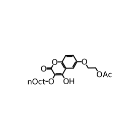 CCCCCCCCOc1c(O)c2cc(OCCOC(C)=O)ccc2oc1=O